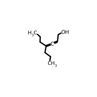 CCCC(=C=CCO)CCC